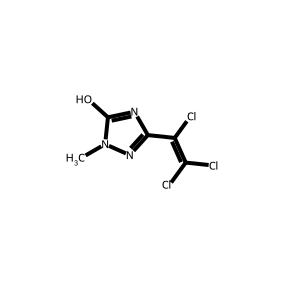 Cn1nc(C(Cl)=C(Cl)Cl)nc1O